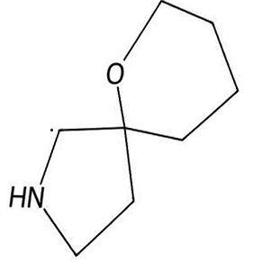 [CH]1NCCC12CCCCO2